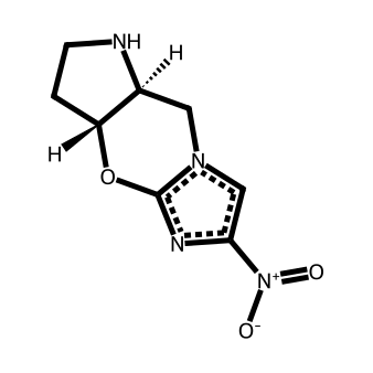 O=[N+]([O-])c1cn2c(n1)O[C@@H]1CCN[C@H]1C2